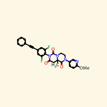 COc1ccc(N2CCN3C(=O)N(c4c(F)cc(C#Cc5ccccc5)cc4F)C(=O)CC3(C)C2=O)cn1